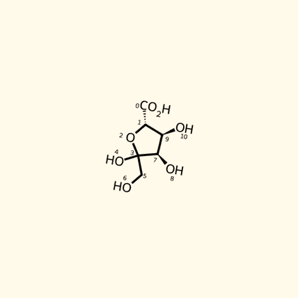 O=C(O)[C@H]1OC(O)(CO)[C@H](O)[C@@H]1O